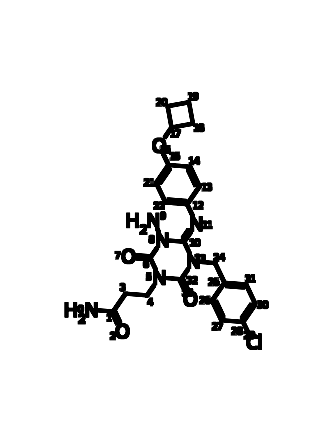 NC(=O)CCn1c(=O)n(N)/c(=N\c2ccc(OC3CCC3)cc2)n(Cc2ccc(Cl)cc2)c1=O